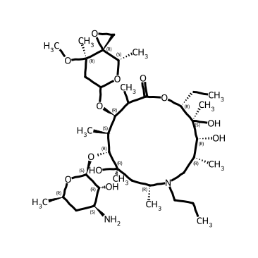 CCCN1C[C@@H](C)[C@@H](O)[C@](C)(O)[C@@H](CC)OC(=O)C(C)[C@H](OC2C[C@@](C)(OC)[C@@]3(CO3)[C@H](C)O2)[C@H](C)[C@@H](O[C@@H]2O[C@H](C)C[C@H](N)[C@H]2O)[C@](C)(O)C[C@H]1C